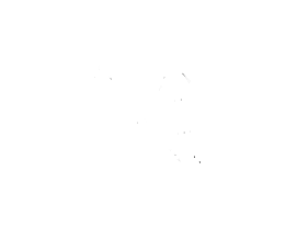 C=CCCc1ccccc1C(Cl)c1ccncc1